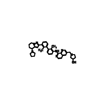 Cc1c(Nc2nccc3cc(CN4CC[C@@H](O)C4)cnc23)cccc1-c1cccc(-c2cc3n(n2)CCCC3N2CCCC2)c1C